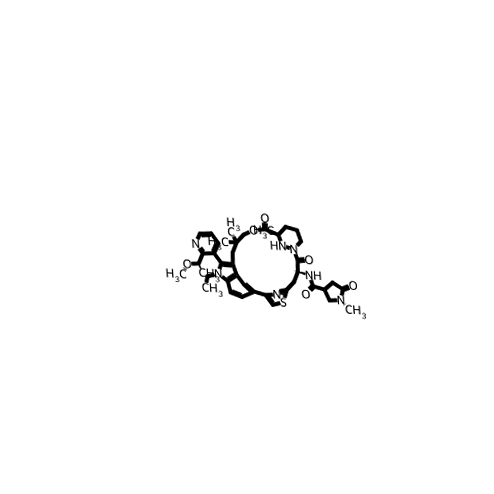 CCn1c(-c2cccnc2[C@H](C)OC)c2c3cc(ccc31)-c1csc(n1)C[C@H](NC(=O)C1CC(=O)N(C)C1)C(=O)N1CCC[C@@](C)(N1)C(=O)OCC(C)(C)C2